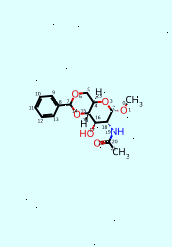 CO[C@H]1O[C@@H]2COC(c3ccccc3)O[C@H]2[C@H](O)[C@H]1NC(C)=O